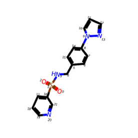 O=S(=O)(NCc1ccc(-n2cccn2)cc1)c1cccnc1